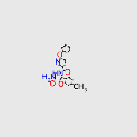 Cc1ccc2c(NC(=O)c3ccc(Oc4ccccc4)nc3)c(C(N)=O)oc2c1